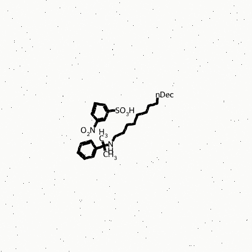 CCCCCCCCCCCCCCCCCCNC(C)(C)c1ccccc1.O=[N+]([O-])c1cccc(S(=O)(=O)O)c1